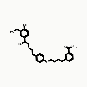 NC(=O)c1cccc(CCCCOc2ccc(CCNCC(O)C3=CC=C(O)C(CO)C3)cc2)c1